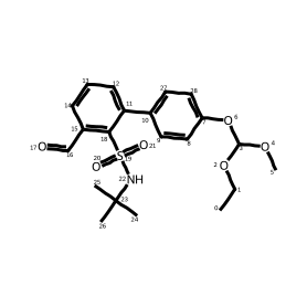 CCOC(OC)Oc1ccc(-c2cccc(C=O)c2S(=O)(=O)NC(C)(C)C)cc1